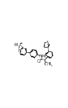 Cc1cc(-c2ccc(NC(=O)C(C)c3cccc(-c4ccsc4)c3)cc2)ccn1